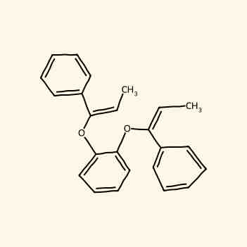 CC=C(Oc1ccccc1OC(=CC)c1ccccc1)c1ccccc1